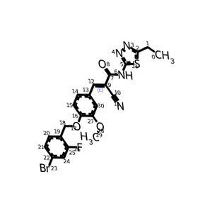 CCc1nnc(NC(=O)/C(C#N)=C/c2ccc(OCc3ccc(Br)cc3F)c(OC)c2)s1